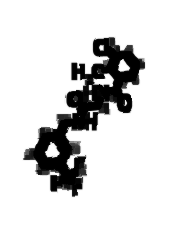 Cc1c(Cl)cccc1C(=O)NCC(=O)NCc1cccc(C(F)(F)F)c1